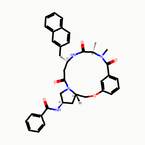 C[C@H]1C(=O)N[C@@H](Cc2ccc3ccccc3c2)CC(=O)N2C[C@H](NC(=O)c3ccccc3)C[C@H]2COc2cccc(c2)C(=O)N1C